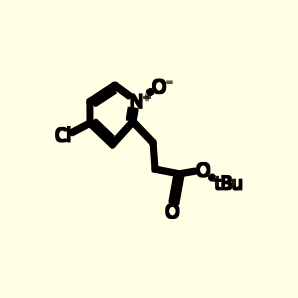 CC(C)(C)OC(=O)CCc1cc(Cl)cc[n+]1[O-]